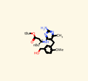 CCCC[C@@H](CC(=O)OC(C)(C)C)Nc1nc(N)nc(C)c1Cc1cc(CO)ccc1OC